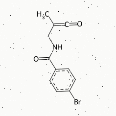 CC(=C=O)CNC(=O)c1ccc(Br)cc1